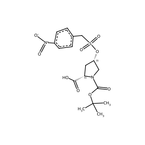 CC(C)(C)OC(=O)N1C[C@@H](OS(=O)(=O)Cc2ccc([N+](=O)[O-])cc2)C[C@H]1C(=O)O